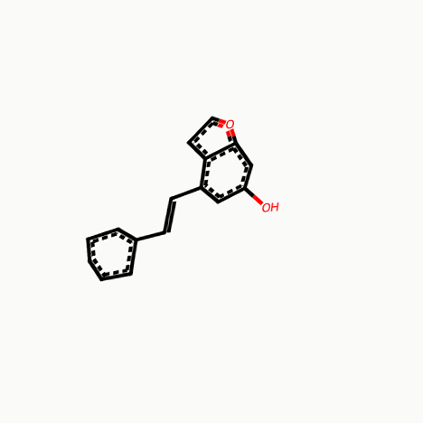 Oc1cc(/C=C/c2ccccc2)c2ccoc2c1